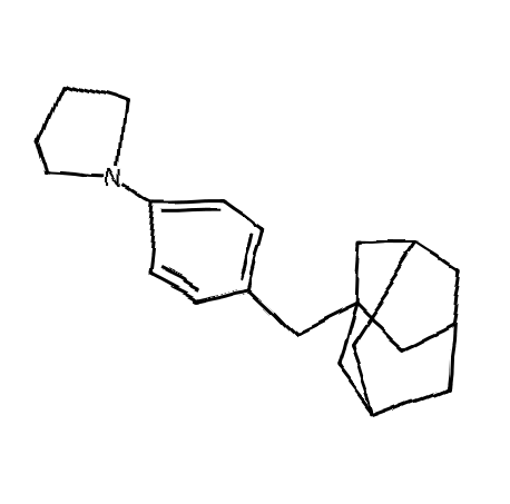 c1cc(N2CCCC2)ccc1CC12CC3CC(CC(C3)C1)C2